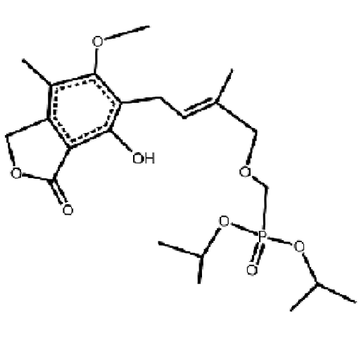 COc1c(C)c2c(c(O)c1C/C=C(\C)COCP(=O)(OC(C)C)OC(C)C)C(=O)OC2